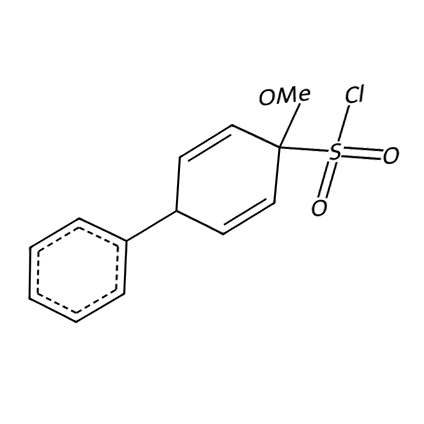 COC1(S(=O)(=O)Cl)C=CC(c2ccccc2)C=C1